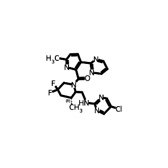 Cc1ccc(-c2ncccn2)c(C(=O)N2CC(F)(F)C[C@@H](C)C2CNc2ncc(Cl)cn2)n1